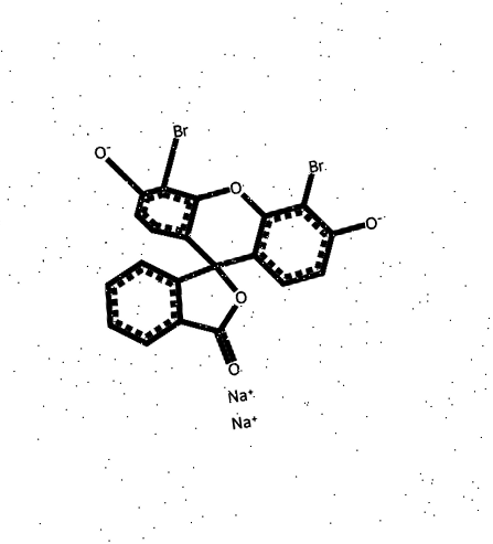 O=C1OC2(c3ccccc31)c1ccc([O-])c(Br)c1Oc1c2ccc([O-])c1Br.[Na+].[Na+]